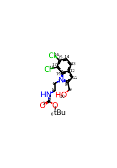 CC(C)(C)OC(=O)NCCn1c(CO)cc2ccc(Cl)c(Cl)c21